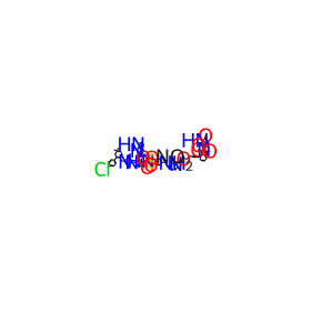 CC1(C)CCC(CN2CCN(c3ccc(C(=O)NS(=O)(=O)c4ccc(NCC5CCCN(CCOCCC#Cc6cccc7c6C(=O)N(C6CCC(=O)NC6=O)C7=O)C5)c([N+](=O)[O-])c4)c(Oc4cnc5[nH]ccc5c4)c3)CC2)=C(c2ccc(Cl)cc2)C1